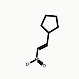 O=[N+]([O-])C=CC1CCCC1